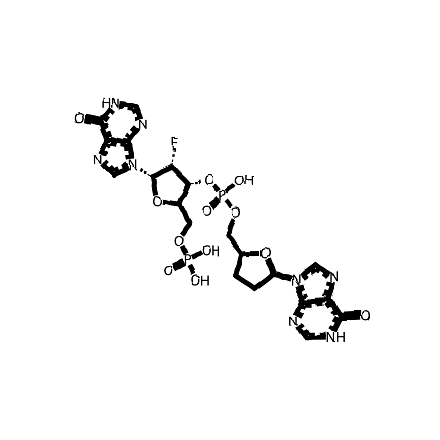 O=c1[nH]cnc2c1ncn2C1CCC(COP(=O)(O)O[C@@H]2C(COP(=O)(O)O)O[C@H](n3cnc4c(=O)[nH]cnc43)[C@@H]2F)O1